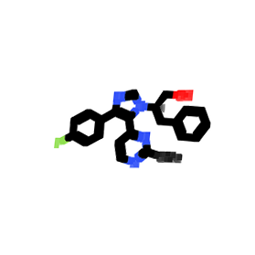 COc1nccc(-c2c(-c3ccc(F)cc3)ncn2[C@@H](CO)Cc2ccccc2)n1